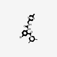 Cc1cnc(CNC(=O)Nc2ccc(Br)cc2C(=O)N2C[C@H](C)C[C@H](C)C2)cn1